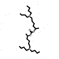 CCCCN(CCCC)CCCCC(C)OC(=O)OC(C)CCCCN(CCCC)CCCC